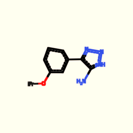 CC(C)Oc1cccc(-c2nn[nH]c2N)c1